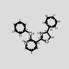 c1ccc(Oc2ncccc2C2=NC(c3ccccc3)CO2)cc1